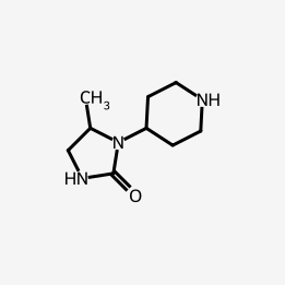 CC1CNC(=O)N1C1CCNCC1